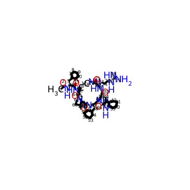 CC(=O)N[C@@H](Cc1ccccc1)C(=O)N[C@H]1CCCNC(=O)[C@H](CCCNC(=N)N)NC(=O)[C@H](Cc2c[nH]c3ccccc23)NC(=O)[C@@H](Cc2ccccc2)NC(=O)[C@@H]2CCCN2C1=O